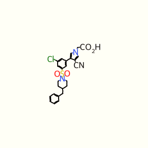 N#Cc1cn(CC(=O)O)cc1-c1cc(Cl)cc(S(=O)(=O)N2CCC(Cc3ccccc3)CC2)c1